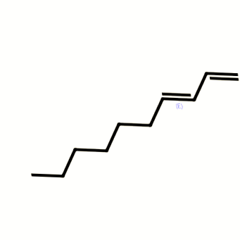 [CH]=C/C=C/CCCCCC